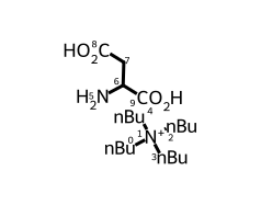 CCCC[N+](CCCC)(CCCC)CCCC.NC(CC(=O)O)C(=O)O